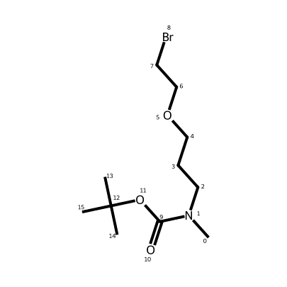 CN(CCCOCCBr)C(=O)OC(C)(C)C